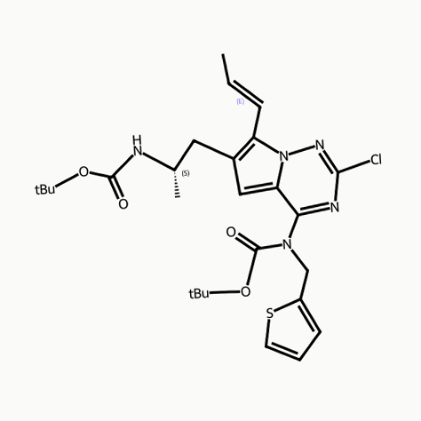 C/C=C/c1c(C[C@H](C)NC(=O)OC(C)(C)C)cc2c(N(Cc3cccs3)C(=O)OC(C)(C)C)nc(Cl)nn12